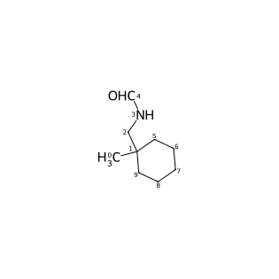 CC1(CNC=O)CCCCC1